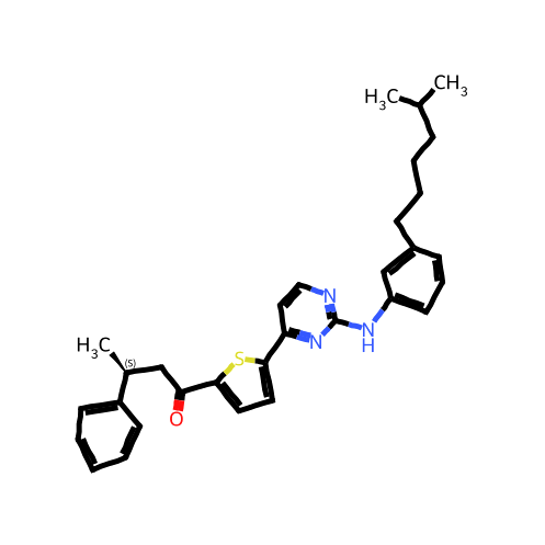 CC(C)CCCCc1cccc(Nc2nccc(-c3ccc(C(=O)C[C@H](C)c4ccccc4)s3)n2)c1